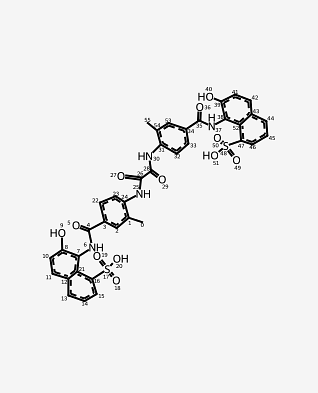 Cc1cc(C(=O)Nc2c(O)ccc3cccc(S(=O)(=O)O)c23)ccc1NC(=O)C(=O)Nc1ccc(C(=O)Nc2c(O)ccc3cccc(S(=O)(=O)O)c23)cc1C